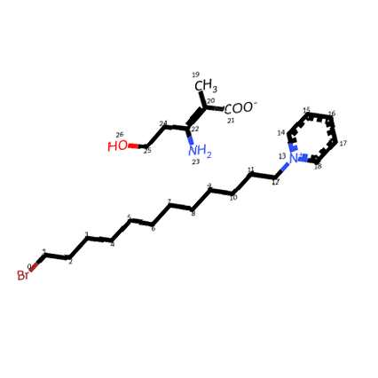 BrCCCCCCCCCCCC[n+]1ccccc1.CC(C(=O)[O-])=C(N)CCO